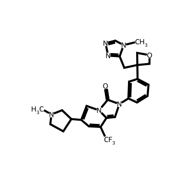 CN1CCC(c2cc(C(F)(F)F)c3cn(-c4cccc(C5(Cc6nncn6C)COC5)c4)c(=O)n3c2)C1